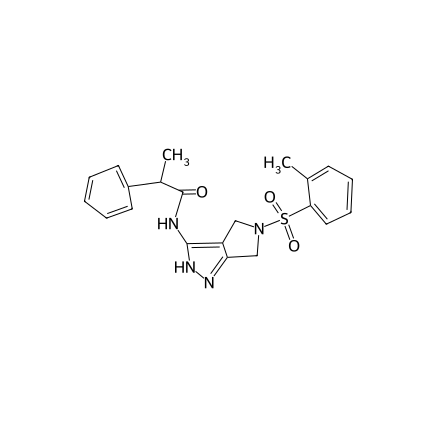 Cc1ccccc1S(=O)(=O)N1Cc2n[nH]c(NC(=O)C(C)c3ccccc3)c2C1